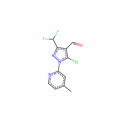 Cc1ccnc(-n2nc(C(F)F)c(C=O)c2Cl)c1